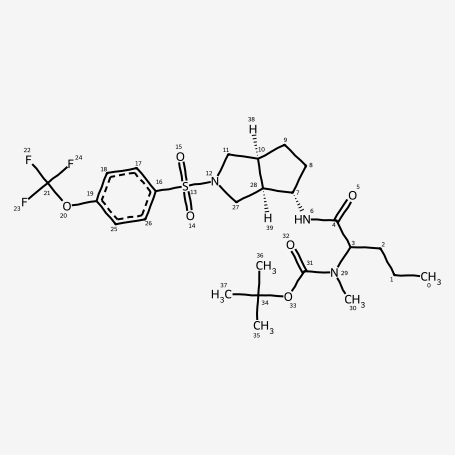 CCCC(C(=O)N[C@H]1CC[C@@H]2CN(S(=O)(=O)c3ccc(OC(F)(F)F)cc3)C[C@@H]21)N(C)C(=O)OC(C)(C)C